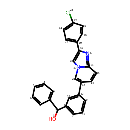 OC(c1ccccc1)c1cccc(-c2ccc3nc(-c4ccc(Cl)cc4)cn3c2)c1